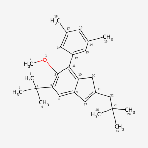 COc1c(C(C)(C)C)cc2c(c1-c1cc(C)cc(C)c1)CC(CC(C)(C)C)=C2